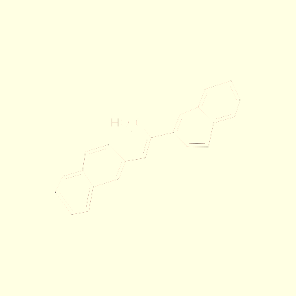 O=C(O)/C(=C\c1ccc2ccccc2c1)c1ccc2ccccc2c1